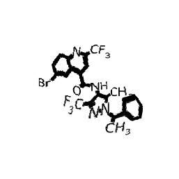 Cc1c(NC(=O)c2cc(C(F)(F)F)nc3ccc(Br)cc23)c(C(F)(F)F)nn1C(C)c1ccccc1